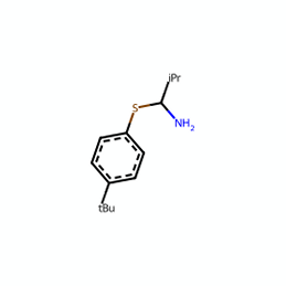 CC(C)C(N)Sc1ccc(C(C)(C)C)cc1